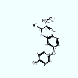 CC(C)C(Sc1cccc(Oc2ccc(Cl)cc2)c1)C(=O)NO